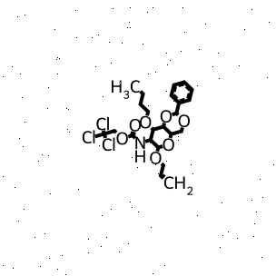 C=CCOC1OC2COC(c3ccccc3)OC2C(OCCCC)C1NC(=O)OCC(Cl)(Cl)Cl